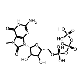 Cn1c(=O)n([C@@H]2O[C@H](COP(=O)(O)OP(=O)(O)OP(=O)(O)O)[C@@H](O)[C@H]2O)c2nc(N)[nH]c(=O)c21